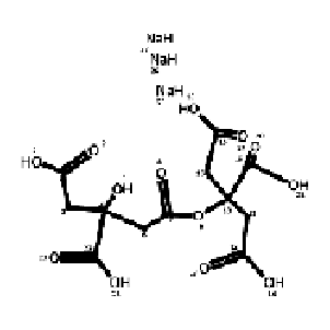 O=C(O)CC(O)(CC(=O)OC(CC(=O)O)(CC(=O)O)C(=O)O)C(=O)O.[NaH].[NaH].[NaH]